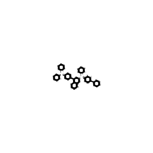 c1ccc(-c2ccc(N(c3ccccc3)c3cc(-c4ccc(N(c5ccccc5)c5ccccc5)cc4)c4ccccc4c3)cc2)cc1